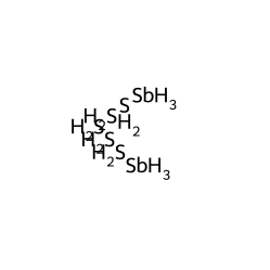 S.S.S.S.S.[SbH3].[SbH3]